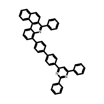 c1ccc(-c2cc(-c3ccc(-c4ccc(-c5cccc6c5nc(-c5ccccc5)c5ccc7ccccc7c56)cc4)cc3)nc(-c3ccccc3)n2)cc1